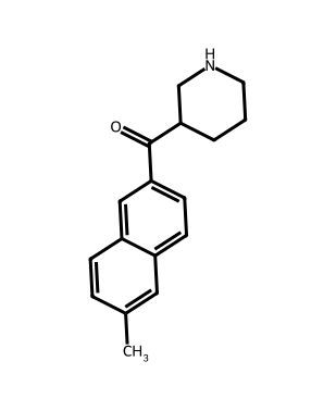 Cc1ccc2cc(C(=O)C3CCCNC3)ccc2c1